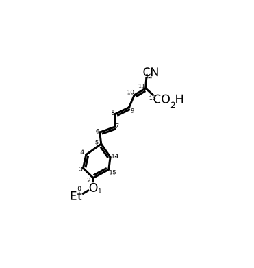 CCOc1ccc(C=CC=CC=C(C#N)C(=O)O)cc1